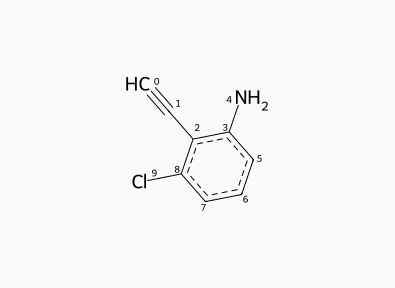 C#Cc1c(N)cccc1Cl